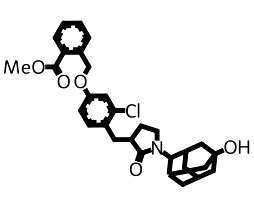 COC(=O)c1ccccc1COc1ccc(CC2CCN(C3C4CC5CC3CC(O)(C5)C4)C2=O)c(Cl)c1